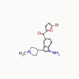 CN1CCC(c2cn(N)c3ccc(C(=O)c4ccc(Br)o4)cc23)CC1